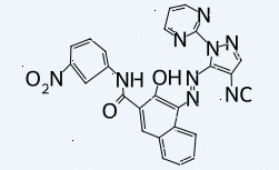 [C-]#[N+]c1cnn(-c2ncccn2)c1/N=N/c1c(O)c(C(=O)Nc2cccc([N+](=O)[O-])c2)cc2ccccc12